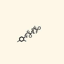 Cc1ccc(N=CN(C)C(=O)N(C)SN(C)C(=O)F)c(C)c1